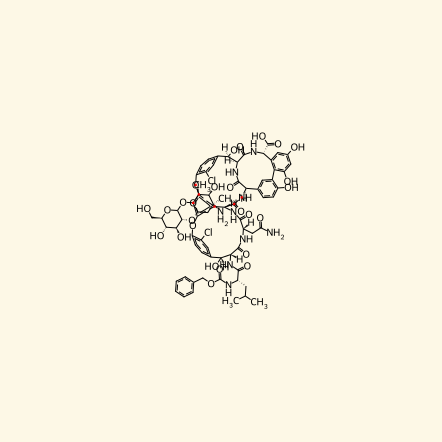 CC(C)C[C@H](NC(=O)OCc1ccccc1)C(=O)N[C@H]1C(=O)N[C@@H](CC(N)=O)C(=O)N[C@H]2C(=O)N[C@H]3C(=O)N[C@H](C(=O)N[C@H](C(=O)O)c4cc(O)cc(O)c4-c4cc3ccc4O)[C@H](O)c3ccc(c(Cl)c3)Oc3cc2cc(c3OC2O[C@H](CO)[C@@H](O)[C@H](O)[C@H]2O[C@H]2C[C@](C)(N)[C@H](O)[C@H](C)O2)Oc2ccc(cc2Cl)[C@H]1O